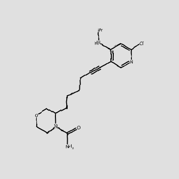 CC(C)Nc1cc(Cl)ncc1C#CCCCCC1COCCN1C(N)=O